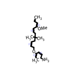 C=C/C=C(\C=C/CC(C)(C)C/C=C\COC(/C=C\CN)=C/C)OC